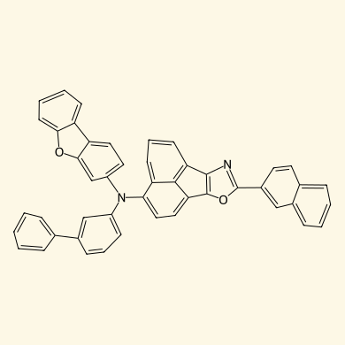 c1ccc(-c2cccc(N(c3ccc4c(c3)oc3ccccc34)c3ccc4c5c(cccc35)-c3nc(-c5ccc6ccccc6c5)oc3-4)c2)cc1